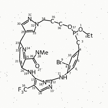 CCOP1Cc2ccc(c(Br)c2)Nc2ncc(C(F)(F)F)c(n2)Nc2ccc(nc2C(=O)NC)-c2cnn(c2)CCCO1